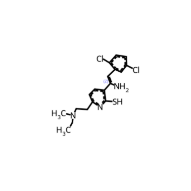 CCN(C)CCc1ccc(/C(N)=C/c2cc(Cl)ccc2Cl)c(S)n1